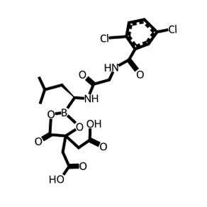 CC(C)C[C@@H](NC(=O)CNC(=O)c1cc(Cl)ccc1Cl)B1OC(=O)C(CC(=O)O)(CC(=O)O)O1